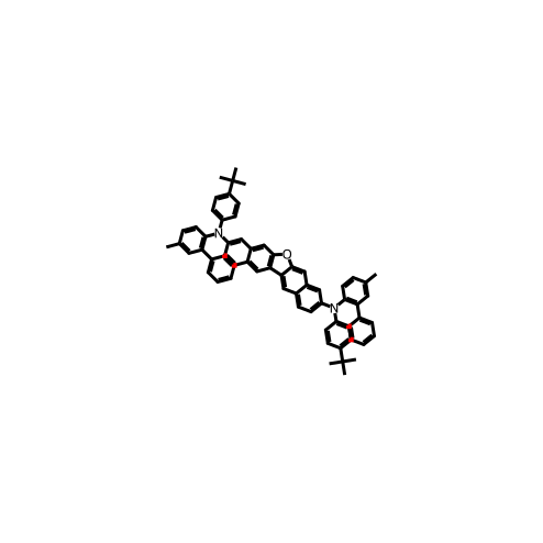 Cc1ccc(N(c2ccc(C(C)(C)C)cc2)c2ccc3cc4c(cc3c2)oc2cc3cc(N(c5ccc(C(C)(C)C)cc5)c5ccc(C)cc5-c5ccccc5)ccc3cc24)c(-c2ccccc2)c1